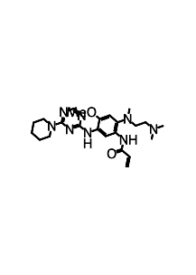 C=CC(=O)Nc1cc(Nc2ncnc(N3CCCCC3)n2)c(OC)cc1N(C)CCN(C)C